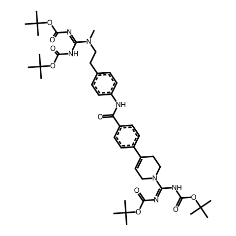 CN(CCc1ccc(NC(=O)c2ccc(C3=CCN(/C(=N\C(=O)OC(C)(C)C)NC(=O)OC(C)(C)C)CC3)cc2)cc1)/C(=N/C(=O)OC(C)(C)C)NC(=O)OC(C)(C)C